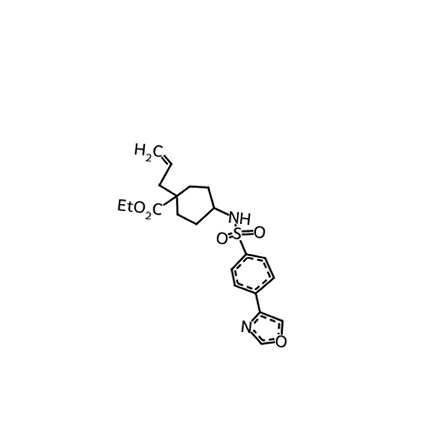 C=CCC1(C(=O)OCC)CCC(NS(=O)(=O)c2ccc(-c3cocn3)cc2)CC1